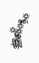 CN[C@@H](C)C(=O)N[C@H](C(=O)N1CCC[C@H]1CN(CCc1ccccc1)C(=O)c1ccc(-c2ccc(C(=O)NCCc3ccccc3)cc2)cc1)C(C)(C)C